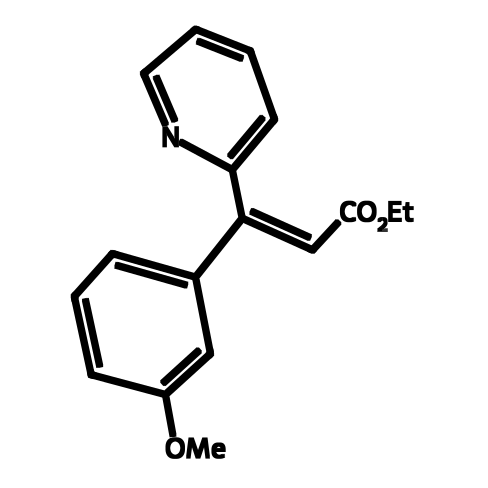 CCOC(=O)C=C(c1cccc(OC)c1)c1ccccn1